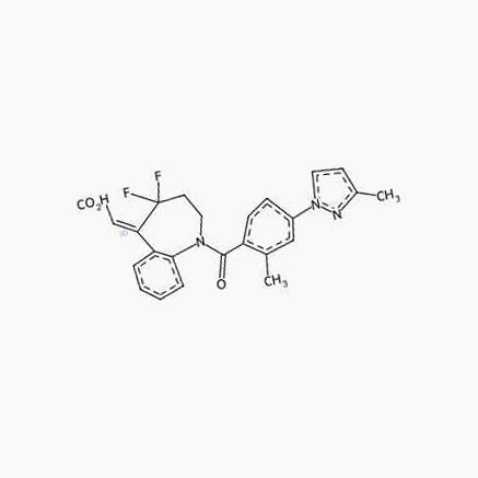 Cc1ccn(-c2ccc(C(=O)N3CCC(F)(F)/C(=C\C(=O)O)c4ccccc43)c(C)c2)n1